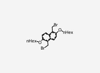 CCCCCCOc1ccc2c(CBr)c(OCCCCCC)ccc2c1CBr